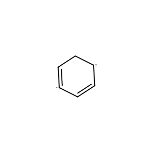 [C]1C=C[C]=CC1